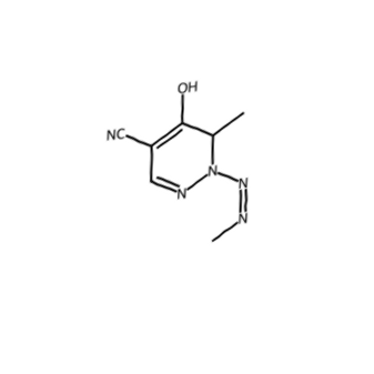 C/N=N\N1N=CC(C#N)=C(O)C1C